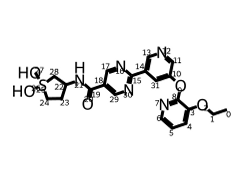 CCOc1cccnc1Oc1cncc(-c2ncc(C(=O)NC3CCS(O)(O)C3)cn2)c1